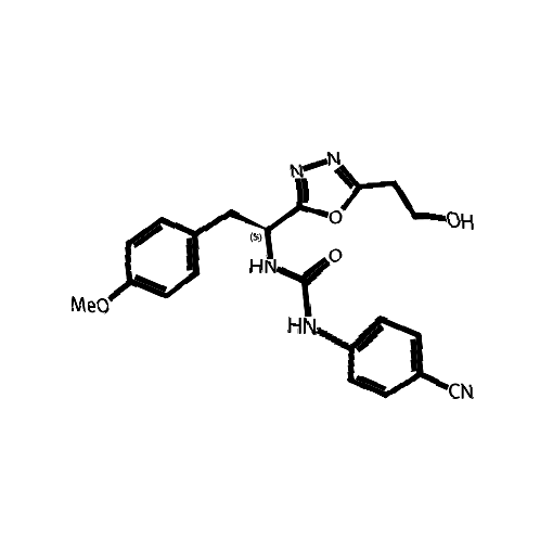 COc1ccc(C[C@H](NC(=O)Nc2ccc(C#N)cc2)c2nnc(CCO)o2)cc1